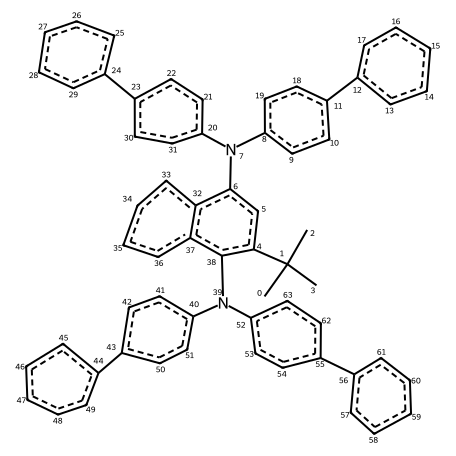 CC(C)(C)c1cc(N(c2ccc(-c3ccccc3)cc2)c2ccc(-c3ccccc3)cc2)c2ccccc2c1N(c1ccc(-c2ccccc2)cc1)c1ccc(-c2ccccc2)cc1